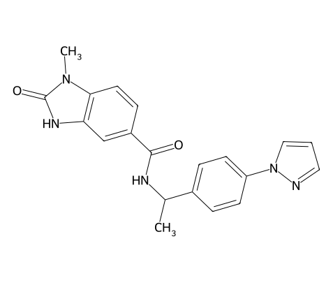 CC(NC(=O)c1ccc2c(c1)[nH]c(=O)n2C)c1ccc(-n2cccn2)cc1